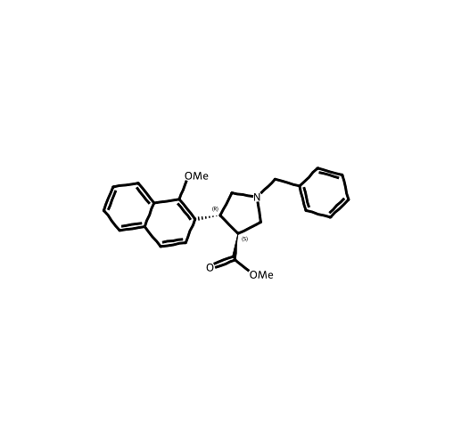 COC(=O)[C@@H]1CN(Cc2ccccc2)C[C@H]1c1ccc2ccccc2c1OC